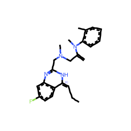 C=C(CN(C)CC1=Nc2cc(F)ccc2/C(=C\CC)N1)N(C)c1ccccc1C